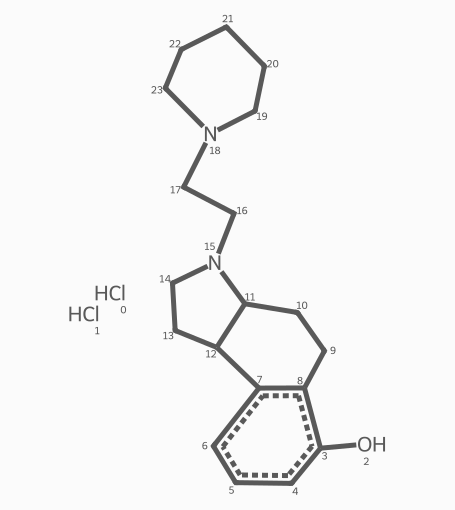 Cl.Cl.Oc1cccc2c1CCC1C2CCN1CCN1CCCCC1